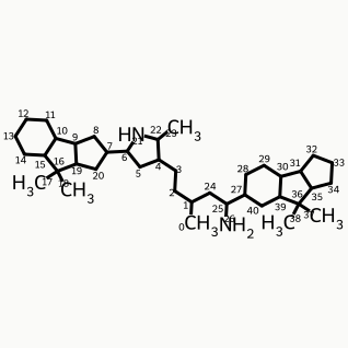 CC(CCC1CC(C2CC3C4CCCCC4C(C)(C)C3C2)NC1C)CC(N)C1CCC2C3CCCC3C(C)(C)C2C1